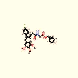 COc1cc(C=C2C(C)=C(CC(=O)NCC(=O)OCc3ccccc3)c3cc(F)ccc32)cc(OC)c1OC